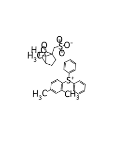 CC1(C)C2CCC1(CS(=O)(=O)[O-])C(=O)C2.Cc1ccc([S+](c2ccccc2)c2ccccc2)c(C)c1